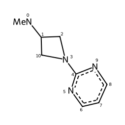 CNC1CN(c2ncccn2)C1